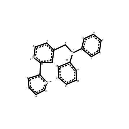 c1ccc(P(Cc2ccnc(-c3ccccn3)c2)c2ccccc2)cc1